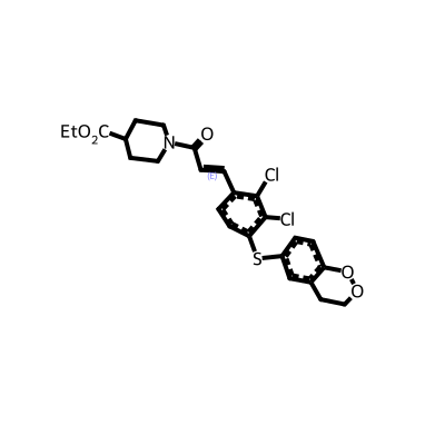 CCOC(=O)C1CCN(C(=O)/C=C/c2ccc(Sc3ccc4c(c3)CCOO4)c(Cl)c2Cl)CC1